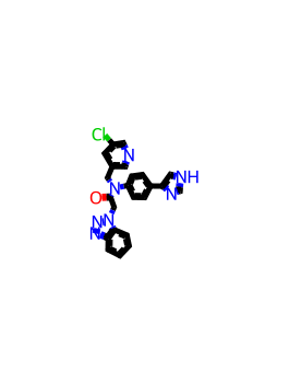 O=C(Cn1nnc2ccccc21)N(Cc1cncc(Cl)c1)c1ccc(-c2c[nH]cn2)cc1